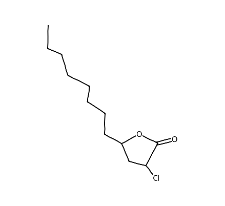 CCCCCCCCC1CC(Cl)C(=O)O1